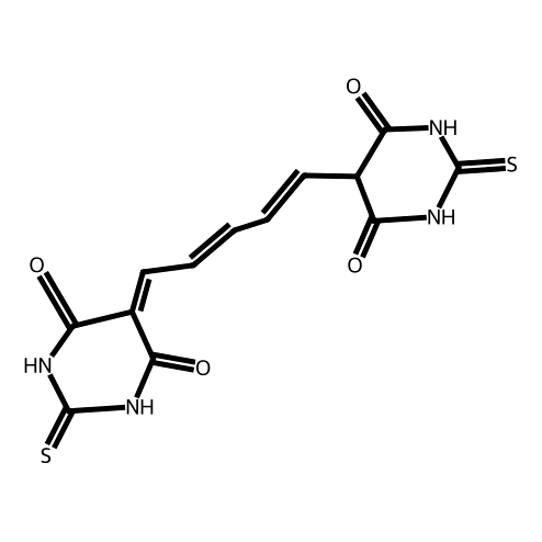 O=C1NC(=S)NC(=O)C1=CC=CC=CC1C(=O)NC(=S)NC1=O